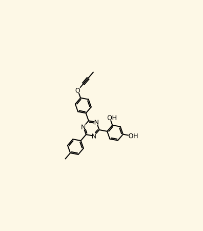 CC#COc1ccc(-c2nc(-c3ccc(C)cc3)nc(-c3ccc(O)cc3O)n2)cc1